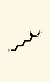 CCNC(=O)CCCCCBr